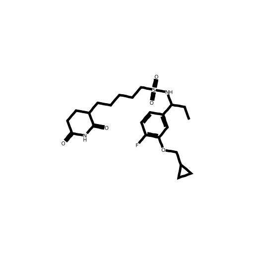 CCC(NS(=O)(=O)CCCCCC1CCC(=O)NC1=O)c1ccc(F)c(OCC2CC2)c1